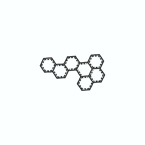 c1ccc2c(c1)ccc1c2ccc2c3cccc4ccc5cccc(c12)c5c43